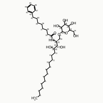 CCCCCCCCCCCCCC[C@@H](O)[C@@H](O)[C@H](COC1OC(CO)C(O)C(O)C1O)NC(=O)CCCCCCCc1ccccc1